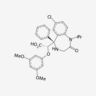 COc1cc(OC)cc(O[C@H](C(=O)O)[C@@]2(c3ccccc3)NCC(=O)N(C(C)C)c3ccc(Cl)cc32)c1